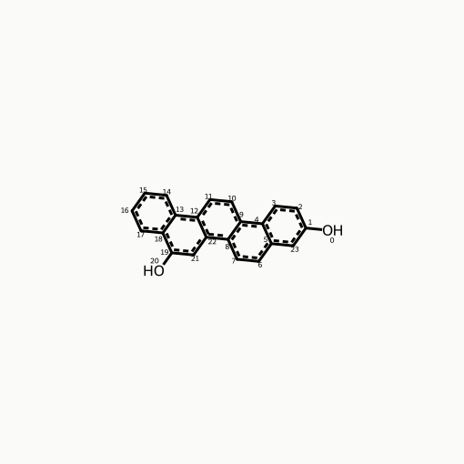 Oc1ccc2c(ccc3c2ccc2c4ccccc4c(O)cc23)c1